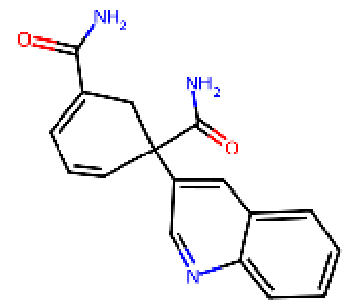 NC(=O)C1=CC=CC(C(N)=O)(c2cnc3ccccc3c2)C1